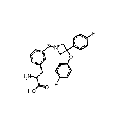 NC(Cc1cccc(SN2CC(Oc3ccc(F)cc3)(c3ccc(F)cc3)C2)c1)C(=O)O